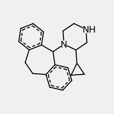 c1ccc2c(c1)CCc1ccccc1C2N1CCNCC1C1CC1